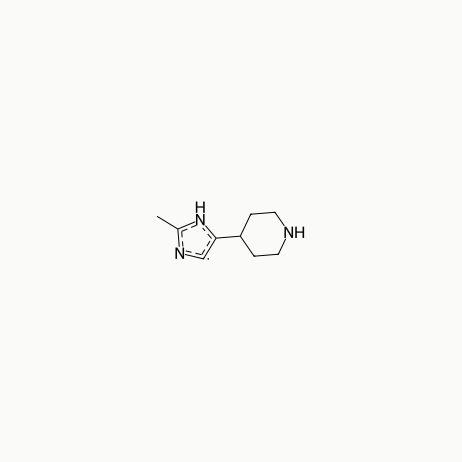 Cc1n[c]c(C2CCNCC2)[nH]1